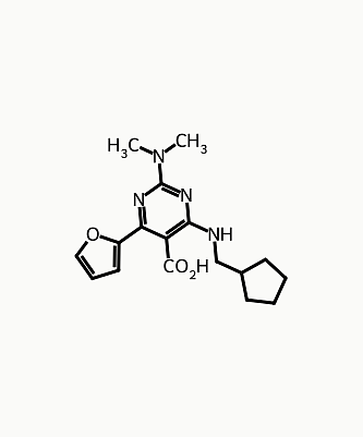 CN(C)c1nc(NCC2CCCC2)c(C(=O)O)c(-c2ccco2)n1